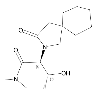 C[C@@H](O)[C@@H](C(=O)N(C)C)N1CC2(CCCCC2)CC1=O